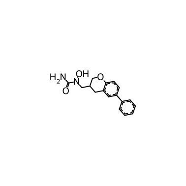 NC(=O)N(O)CC1COc2ccc(-c3ccccc3)cc2C1